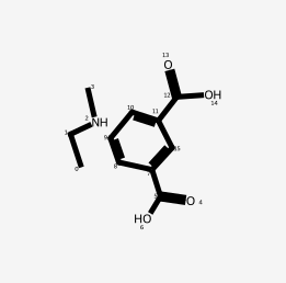 CCNC.O=C(O)c1cccc(C(=O)O)c1